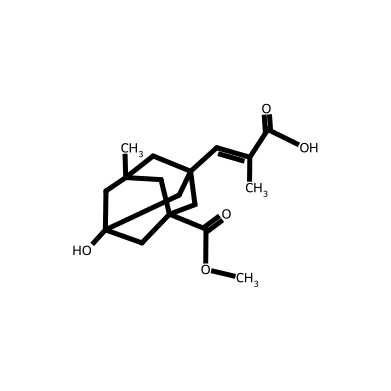 COC(=O)C12CC3(C)CC(O)(CC(C=C(C)C(=O)O)(C3)C1)C2